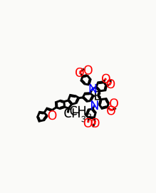 CC1(C)c2cc(-c3cc4c5c(c3)N(c3ccc6c(c3)OCO6)c3cc6c(cc3B5c3cc5c(cc3N4c3ccc4c(c3)OCO4)OCO5)OCO6)ccc2-c2ccc(-c3cc4ccccc4o3)cc21